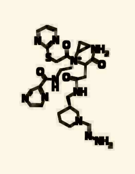 NN=CN1CCC[C@@H](CNC(=O)CC(C(N)=O)[N@@+](CCNC(=O)c2cnccn2)(C(=O)CSc2ncccn2)C2CC2)C1